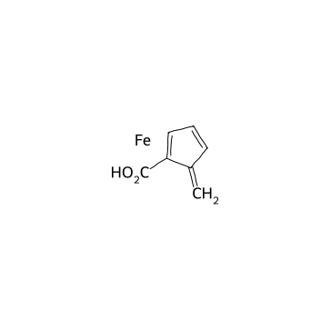 C=C1C=CC=C1C(=O)O.[Fe]